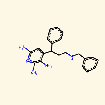 Nc1cc(C(CCNCc2ccccc2)c2ccccc2)c(N)c(N)n1